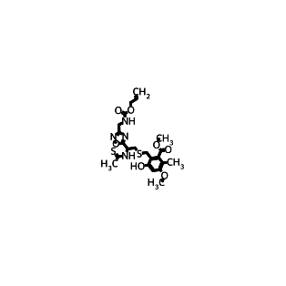 C=CCOC(=O)NCc1noc(C(CSCc2c(O)cc(OC)c(C)c2C(=O)OC)NC(C)=S)n1